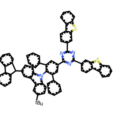 CC(C)(C)c1ccc2c(c1)c1cc(C3c4ccccc4-c4ccccc43)ccc1n2-c1c(-c2ccccc2)cc(-c2nc(-c3ccc4c(c3)sc3ccccc34)nc(-c3ccc4c(c3)sc3ccccc34)n2)cc1-c1ccccc1